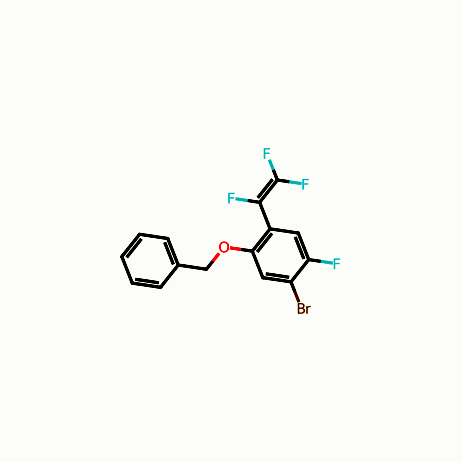 FC(F)=C(F)c1cc(F)c(Br)cc1OCc1ccccc1